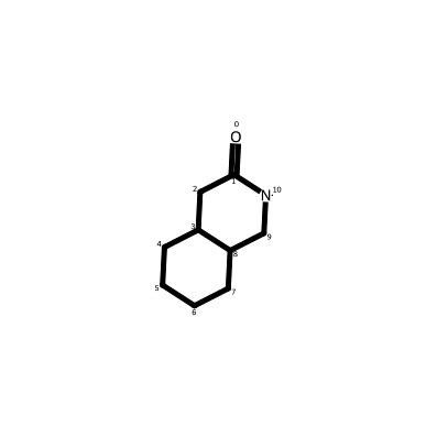 O=C1CC2CCCCC2C[N]1